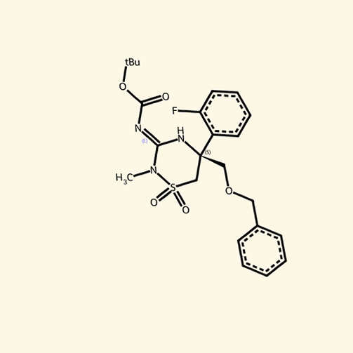 CN1/C(=N/C(=O)OC(C)(C)C)N[C@](COCc2ccccc2)(c2ccccc2F)CS1(=O)=O